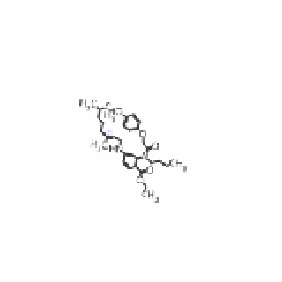 CCCCN(C(=O)COc1ccc(O)cc1)c1cc(NC/C=C(\C)CCC=C(C)C)ccc1C(=O)OCC